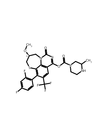 CO[C@@H]1CSc2c(-c3ccc(F)cc3F)c(C(F)(F)F)cc3c(OC(=O)N4CCNC(C)C4)nc(=O)n(c23)C1